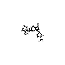 CC(C)[C@H]1CC[C@@H](c2cc(F)c3cnc(N[C@@H]4CCOC[C@H]4O)nn32)CC1